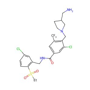 CCS(=O)(=O)c1ccc(Cl)cc1CNC(=O)c1cc(Cl)c(CN2CCC(CN)C2)c(C(F)(F)F)c1